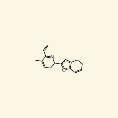 C=CC1=NC(c2cc3c(o2)C=CCC3)CC=C1C